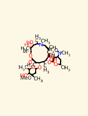 CC[C@H]1OC(=O)[C@H](C)[C@@H](OC2CC(C)(OC)C(O)C(C)O2)[C@H](C)[C@@H](OC2OC(C)CC(N(C)C)C2O)[C@](C)(O)C[C@@H](C)CN(C)[C@H](C)C(O)[C@]1(C)O